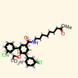 COC(=O)CCCCCCCNC(=O)c1cc(-c2cccc(Cl)c2)c(OCC(=O)O)c(-c2cccc(Cl)c2)c1